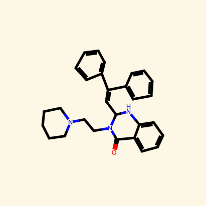 O=C1c2ccccc2NC(C=C(c2ccccc2)c2ccccc2)N1CCN1CCCCC1